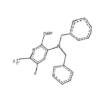 COc1nc(C(F)(F)F)c(F)cc1N(Cc1ccccc1)Cc1ccccc1